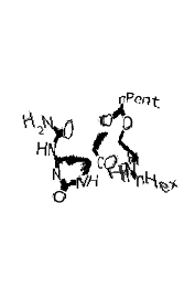 C=CC(=O)O.CCCCCCNCCOC(=O)CCCCC.NC(=O)Nc1cc[nH]c(=O)n1